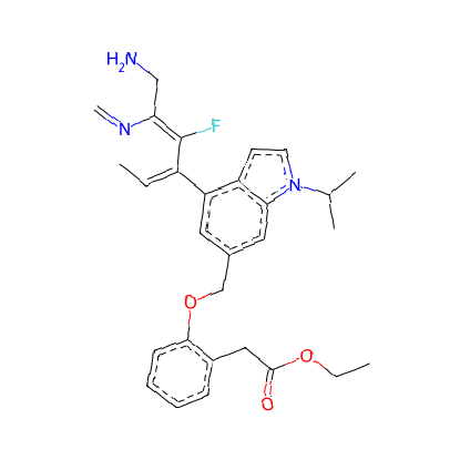 C=N/C(CN)=C(F)\C(=C/C)c1cc(COc2ccccc2CC(=O)OCC)cc2c1ccn2C(C)C